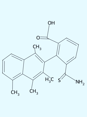 Cc1c(-c2c(C(=O)O)cccc2C(N)=S)c(C)c2cccc(C)c2c1C